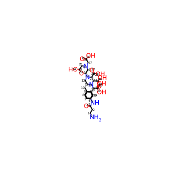 NCCC(=O)Nc1ccc(C[C@H](CN(CCN(CC(=O)O)CC(=O)O)CC(=O)O)N(CC(=O)O)CC(O)O)cc1